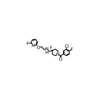 O=C(c1ccc(F)c(Cl)c1)N1CCC(F)(CNCCOc2cccc(F)n2)CC1